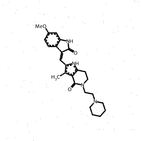 COc1ccc2c(c1)NC(=O)C2=Cc1[nH]c2c(c1C)C(=O)N(CCN1CCCCC1)CC2